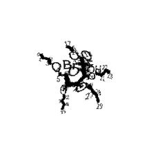 CCCCOC[C@H]1OC(O)(C(F)(Br)C(=O)OCC)[C@H](OCCCC)[C@@H](OCCCC)[C@H]1OCCCC